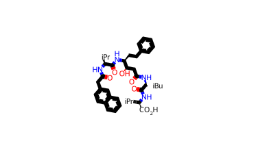 CC[C@H](C)[C@H](NC(=O)C[C@H](O)[C@H](CCc1ccccc1)NC(=O)[C@@H](NC(=O)Cc1ccc2ccccc2c1)C(C)C)C(=O)N[C@H](C(=O)O)C(C)C